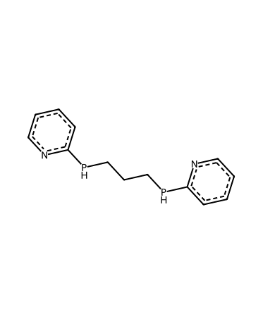 c1ccc(PCCCPc2ccccn2)nc1